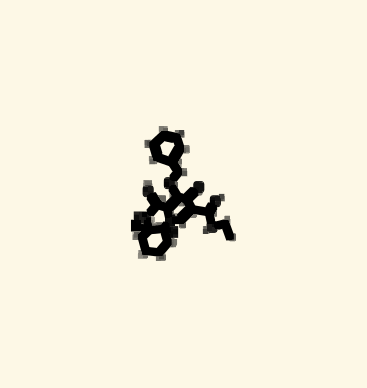 CCOC(=O)c1cn2c(c(OCc3ccccc3)c1=O)C(=O)N[C@H]1CCCC[C@H]12